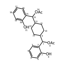 CC(=O)OC(c1ccccc1O)C1CCC(C(OC(C)=O)c2ccccc2O)CC1